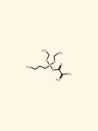 C=C(C)C(=O)O[Si](CCCC)(OCC)OCC